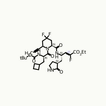 CC#CC1CC(F)(F)C[C@@H](C(=O)N[C@H](/C=C(\F)C(=O)OCC)C[C@@H]2CCNC2=O)N1C(=O)[C@@H](CC1CCC1)NC(=O)OC(C)(C)C